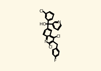 OC(c1cccnc1)(c1cccc(Cl)c1)c1ccc2nc(Cl)c(Cc3ccc(F)cc3)c(Cl)c2c1